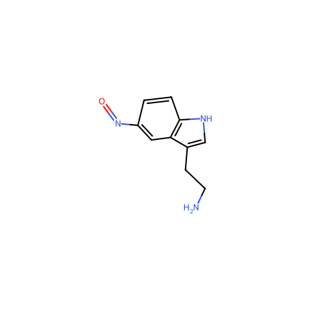 NCCc1c[nH]c2ccc(N=O)cc12